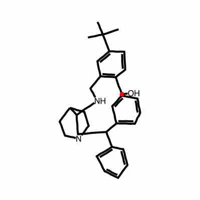 CC(C)(C)c1ccc(CO)c(CNC2C3CCN(CC3)C2C(c2ccccc2)c2ccccc2)c1